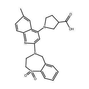 Cc1ccc2nc(N3CCS(=O)(=O)c4ccccc4C3)cc(N3CCC(C(=O)O)C3)c2c1